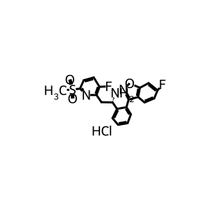 CS(=O)(=O)c1ccc(F)c(C[C@H](N)c2ccccc2-c2noc3cc(F)ccc23)n1.Cl